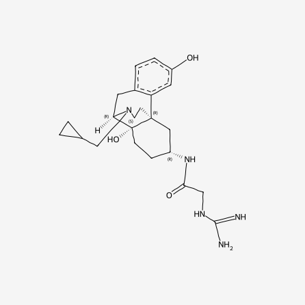 N=C(N)NCC(=O)N[C@@H]1CC[C@@]2(O)[C@H]3Cc4ccc(O)cc4[C@@]2(CCN3CC2CC2)C1